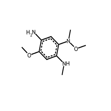 CNc1cc(OC)c(N)cc1N(C)OC